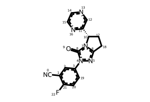 N#Cc1cc(-n2nc3n(c2=O)[C@H](c2cnccn2)CC3)ccc1F